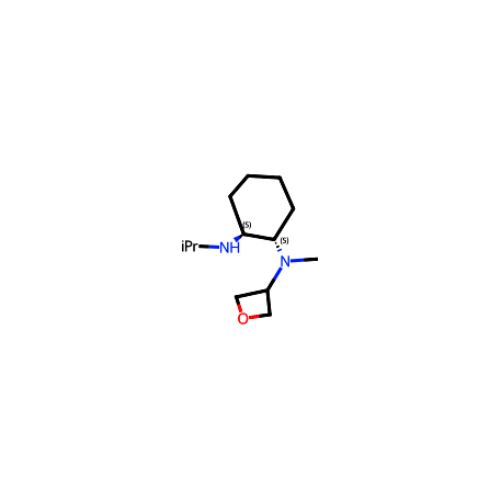 CC(C)N[C@H]1CCCC[C@@H]1N(C)C1COC1